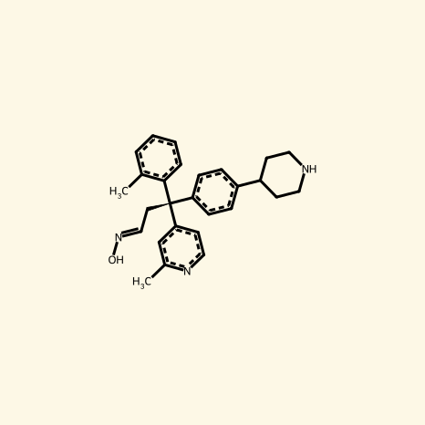 Cc1cc([C@@](C/C=N/O)(c2ccc(C3CCNCC3)cc2)c2ccccc2C)ccn1